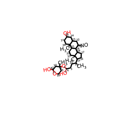 CC(CC[C@@H](O)OC1(C)CCOC(O)C1)C1CCC2C3C(N=O)CC4CC(O)CCC4(C)C3CCC12C